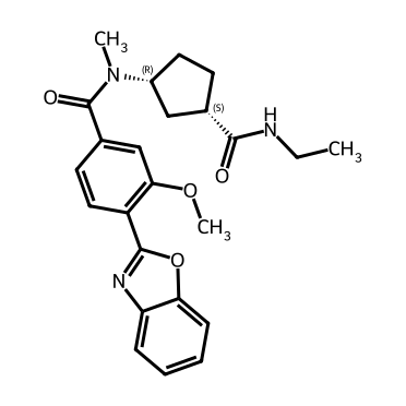 CCNC(=O)[C@H]1CC[C@@H](N(C)C(=O)c2ccc(-c3nc4ccccc4o3)c(OC)c2)C1